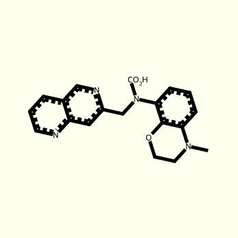 CN1CCOc2c1cccc2N(Cc1cc2ncccc2cn1)C(=O)O